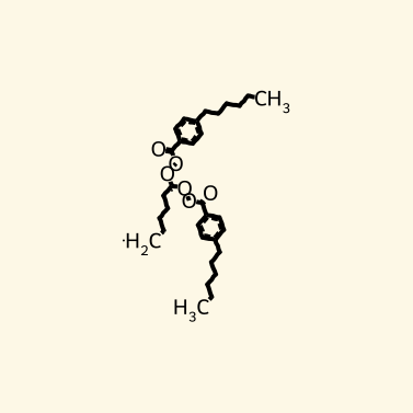 [CH2]CCCC[C](OOC(=O)c1ccc(CCCCCC)cc1)OOC(=O)c1ccc(CCCCCC)cc1